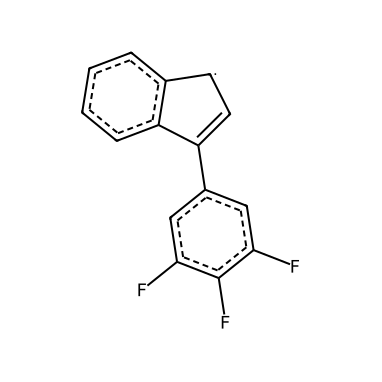 Fc1cc(C2=C[CH]c3ccccc32)cc(F)c1F